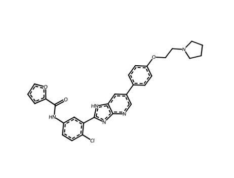 O=C(Nc1ccc(Cl)c(-c2nc3ncc(-c4ccc(OCCN5CCCC5)cc4)cc3[nH]2)c1)c1ccco1